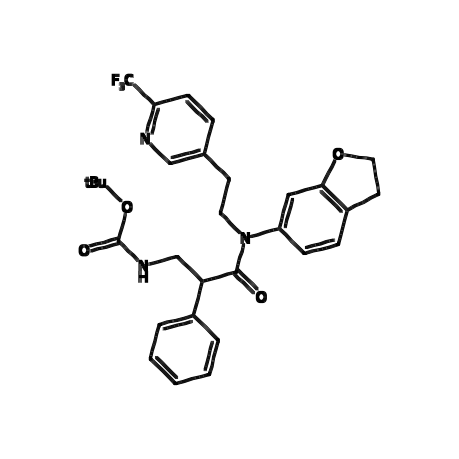 CC(C)(C)OC(=O)NCC(C(=O)N(CCc1ccc(C(F)(F)F)nc1)c1ccc2c(c1)OCC2)c1ccccc1